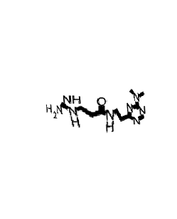 CN(C)c1ncnc(CCNC(=O)CCNC(=N)N)n1